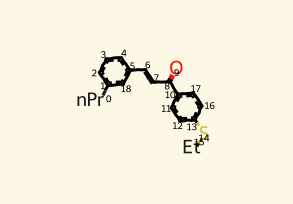 CCCc1cccc(C=CC(=O)c2ccc(SCC)cc2)c1